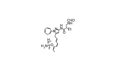 C\C=C(/C=C\C=C\Cc1cc(NC(=O)C(CC)CNC=O)nn1C1=CCC=CC=C1)OC(N)(F)P